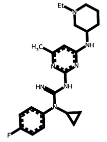 CCN1CCCC(Nc2cc(C)nc(NC(=N)N(c3ccc(F)cc3)C3CC3)n2)C1